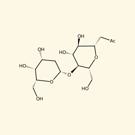 CC(=O)C[C@@H]1O[C@H](CO)[C@@H](O[C@H]2C[C@@H](O)[C@@H](O)[C@@H](CO)O2)[C@H](O)[C@H]1O